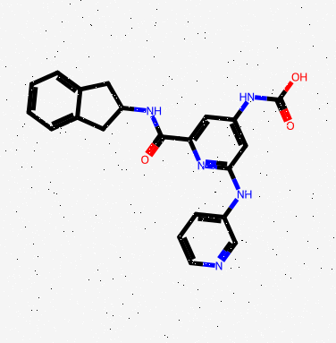 O=C(O)Nc1cc(Nc2cccnc2)nc(C(=O)NC2Cc3ccccc3C2)c1